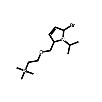 CC(C)N1C(Br)C=CC1COCC[Si](C)(C)C